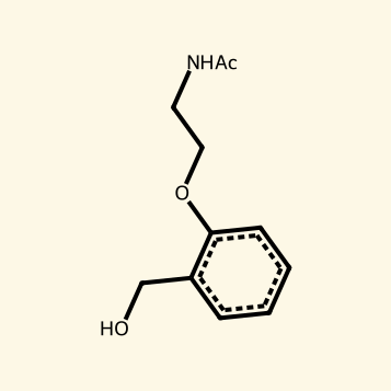 CC(=O)NCCOc1ccccc1CO